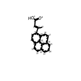 C/C(=C\C(=O)O)c1ccc2ccc3cccc4ccc1c2c34